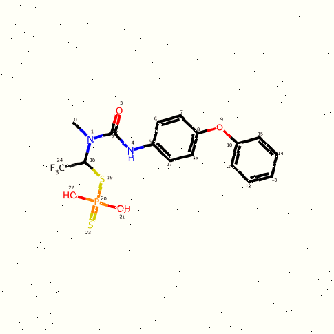 CN(C(=O)Nc1ccc(Oc2ccccc2)cc1)C(SP(O)(O)=S)C(F)(F)F